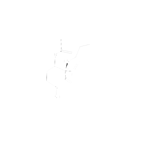 CCCN[C@@]1([PH2]=O)C(=O)N(N)CCC1NC(C)=O